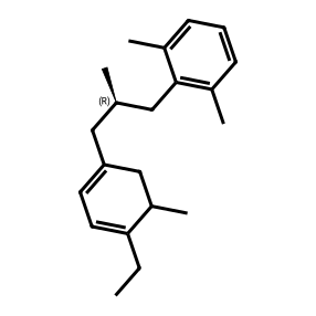 CCC1=CC=C(C[C@@H](C)Cc2c(C)cccc2C)CC1C